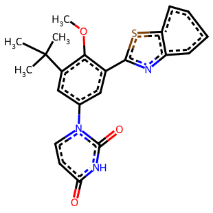 COc1c(-c2nc3ccccc3s2)cc(-n2ccc(=O)[nH]c2=O)cc1C(C)(C)C